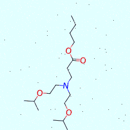 CCCCOC(=O)CCN(CCOC(C)C)CCOC(C)C